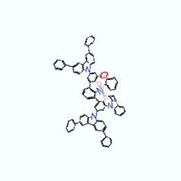 c1ccc(-c2ccc3c(c2)c2cc(-c4ccccc4)ccc2n3-c2cc3c4c(c2)-c2cccc5c2N(B4c2ccccc2O3)B2c3c-5cc(-n4c5ccc(-c6ccccc6)cc5c5cc(-c6ccccc6)ccc54)cc3-n3c4ccccc4c4cccc2c43)cc1